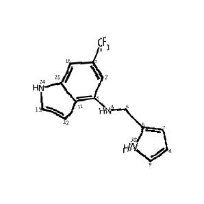 FC(F)(F)c1cc(NCc2ccc[nH]2)c2cc[nH]c2c1